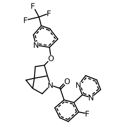 O=C(c1cccc(F)c1-c1ncccn1)N1CC2CC23CC(Oc2ccc(C(F)(F)F)cn2)C13